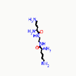 NCCCC[C@H](N)C(=O)NCCNC(=O)[C@H](N)CCCN